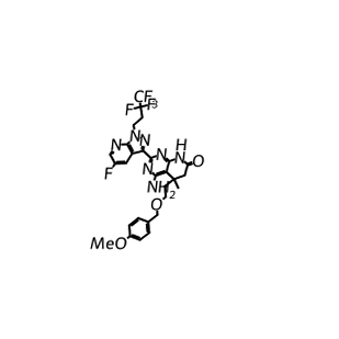 COc1ccc(COCCC2(C)CC(=O)Nc3nc(-c4nn(CCC(F)(F)C(F)(F)F)c5ncc(F)cc45)nc(N)c32)cc1